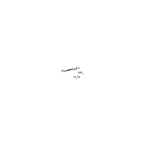 [Cu].[InH3].[SeH][SeH].[TeH2]